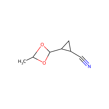 CC1OC(C2CC2C#N)O1